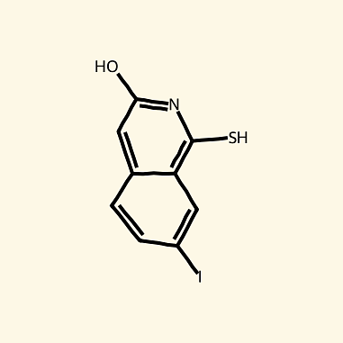 Oc1cc2ccc(I)cc2c(S)n1